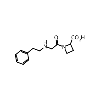 O=C(O)C1CCN1C(=O)CNCCc1ccccc1